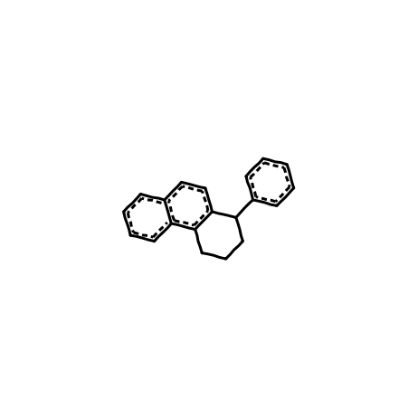 c1ccc(C2CCCc3c2ccc2ccccc32)cc1